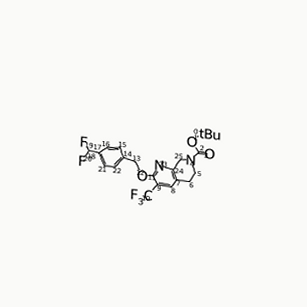 CC(C)(C)OC(=O)N1CCc2cc(C(F)(F)F)c(OCc3ccc(C(F)F)cc3)nc2C1